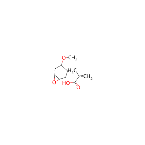 C=C(C)C(=O)O.COC1CCC2OC2C1